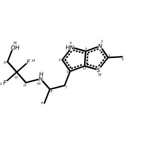 Cc1nc2[nH]cc(CC(C)NCC(F)(F)CO)c2s1